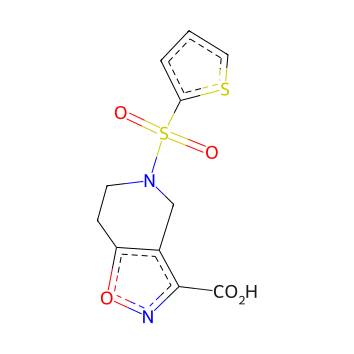 O=C(O)c1noc2c1CN(S(=O)(=O)c1cccs1)CC2